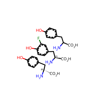 NC(Cc1ccc(O)cc1)C(=O)O.N[C@@H](Cc1ccc(O)c(F)c1)C(=O)O.N[C@H](Cc1ccc(O)cc1)C(=O)O